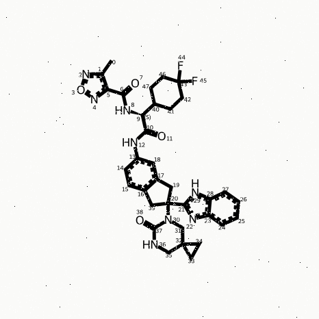 Cc1nonc1C(=O)N[C@H](C(=O)Nc1ccc2c(c1)CC(c1nc3ccccc3[nH]1)(N1CC3(CC3)CNC1=O)C2)C1CCC(F)(F)CC1